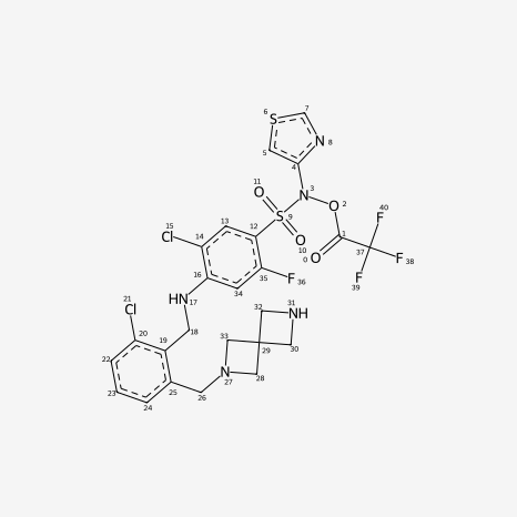 O=C(ON(c1cscn1)S(=O)(=O)c1cc(Cl)c(NCc2c(Cl)cccc2CN2CC3(CNC3)C2)cc1F)C(F)(F)F